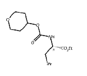 CCOC(=O)[C@H](CC(C)C)NC(=O)OC1CCOCC1